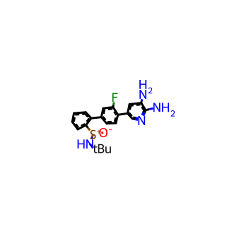 CC(C)(C)N[S+]([O-])c1ccccc1-c1ccc(-c2cnc(N)c(N)c2)c(F)c1